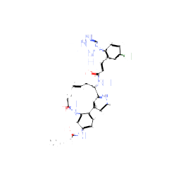 COC(=O)Nc1ccc2c(c1)NC(=O)CC/C=C/C[C@H](NC(=O)/C=C/c1cc(Cl)ccc1N(N)/C=N\N)c1cc-2ccn1